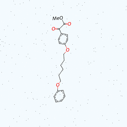 COC(=O)C(=O)c1ccc(OCCCCCCOc2ccccc2)cc1